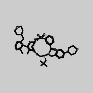 Cc1cccc(CC2CCOCC2)c1-c1nc2nc(c1C)OC[C@@H](CC(C)(C)C)N(Cc1ncc(N3CCOCC3)cn1)C(=O)c1cccc(c1)S(=O)(=O)N2